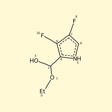 CCOC(O)c1[nH]cc(F)c1F